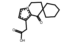 O=C(O)Cc1ccn2c1C(=O)C1(CCCCC1)CC2